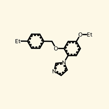 CCOc1ccc(-n2ccnc2)c(OCc2ccc(CC)cc2)c1